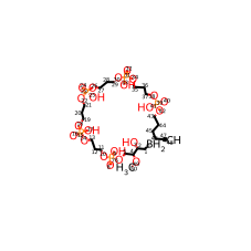 BCC(O)C(COP(=O)(O)OCCCOP(=O)(O)OCCCOP(=O)(O)OCCCOP(=O)(O)OCCCOP(=O)(O)OCCCCC#C)OC